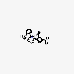 CCOc1cc(N(CC)CC)ccc1N(C)/N=C(\C)c1cccc[n+]1C